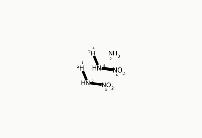 N.[2H]N[N+](=O)[O-].[2H]N[N+](=O)[O-]